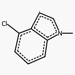 Cn1c[c]c2c(Cl)cccc21